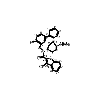 CN[C@H]1CC[C@H](N(Cc2cc(-c3ccccc3)ccc2F)C(=O)c2sc3ccccc3c2Cl)CC1